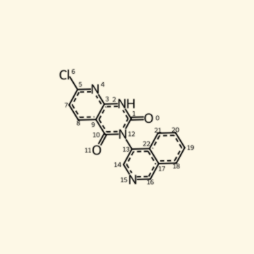 O=c1[nH]c2nc(Cl)ccc2c(=O)n1-c1cncc2ccccc12